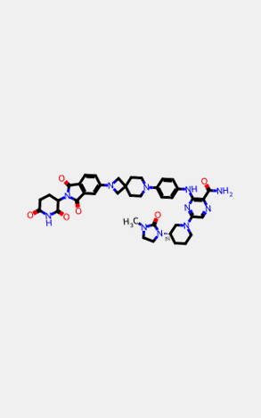 CN1CCN([C@H]2CCCN(c3cnc(C(N)=O)c(Nc4ccc(N5CCC6(CC5)CN(c5ccc7c(c5)C(=O)N(C5CCC(=O)NC5=O)C7=O)C6)cc4)n3)C2)C1=O